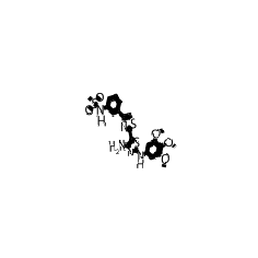 COc1cc(Nc2nc(N)c(-c3nc(-c4cccc(NS(C)(=O)=O)c4)cs3)s2)cc(OC)c1OC